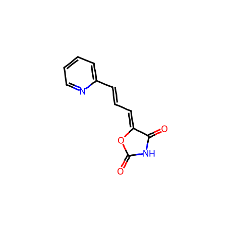 O=C1NC(=O)C(=CC=Cc2ccccn2)O1